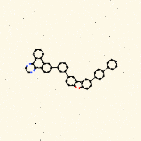 c1ccc(-c2ccc(-c3ccc4oc5ccc(-c6cccc(-c7ccc8c(c7)c7ccccc7c7nccnc87)c6)cc5c4c3)cc2)cc1